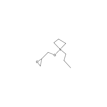 CCC[Si]1(OCC2CO2)CCC1